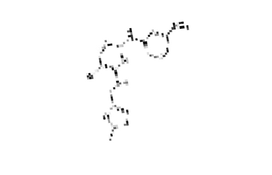 Cc1ccc(CNc2nc(Nc3cccc([N+](=O)[O-])c3)ncc2Br)o1